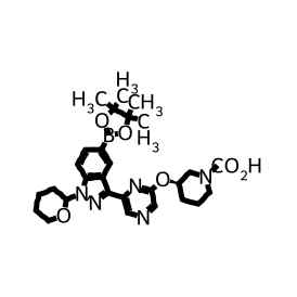 CC1(C)OB(c2ccc3c(c2)c(-c2cncc(O[C@@H]4CCCN(C(=O)O)C4)n2)nn3C2CCCCO2)OC1(C)C